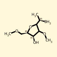 B[C@H](C)C1O[C@H](COC)[C@H](O)C1OC